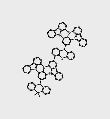 CC1(C)c2ccccc2C(c2cc3c4c(c2)-n2c5ccccc5c5cc(-c6cccc7c6Sc6ccccc6C7c6cc7c8c(c6)-n6c9ccccc9c9cccc(c96)B8c6cccc8c9ccccc9n-7c68)cc(c52)B4c2cccc4c5ccccc5n-3c24)c2ccccc21